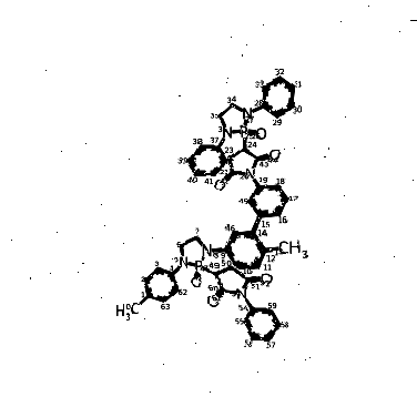 Cc1ccc(N2CCN(c3ccc(C)c(-c4cccc(N5C(=O)CC(P6(=O)N(c7ccccc7)CCN6c6ccccc6)C5=O)c4)c3)P2(=O)C2CC(=O)N(c3ccccc3)C2=O)cc1